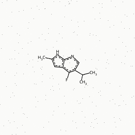 Cc1cc2c(F)c(C(C)C)cnc2[nH]1